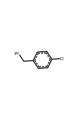 CC(C)Cc1ccc(Cl)cc1